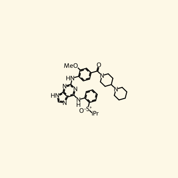 COc1cc(C(=O)N2CCC(N3CCCCC3)CC2)ccc1Nc1nc(Nc2ccccc2[S+]([O-])C(C)C)c2nc[nH]c2n1